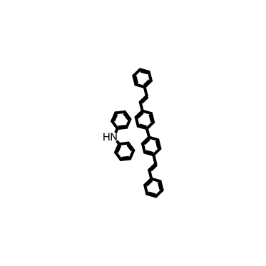 C(=Cc1ccc(-c2ccc(C=Cc3ccccc3)cc2)cc1)c1ccccc1.c1ccc(Nc2ccccc2)cc1